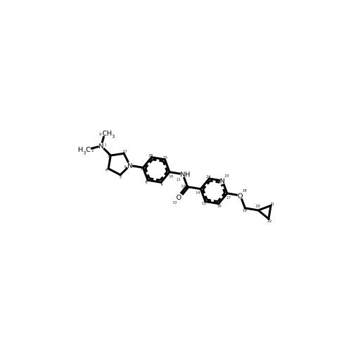 CN(C)C1CCN(c2ccc(NC(=O)c3ccc(OCC4CC4)nc3)cc2)C1